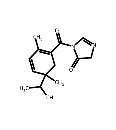 CC1=C(C(=O)N2C=NCC2=O)CC(C)(C(C)C)C=C1